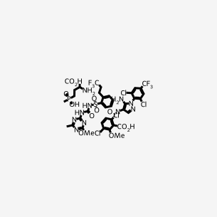 COc1c(Cl)ccc(Cl)c1C(=O)O.COc1nc(C)nc(NC(=O)NS(=O)(=O)c2ccccc2CCC(F)(F)F)n1.CP(=O)(O)CCC(N)C(=O)O.Nc1c([N+](=O)[O-])cnn1-c1c(Cl)cc(C(F)(F)F)cc1Cl